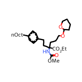 CCCCCCCCc1ccc(CCC(CCCOC2CCCCO2)(NC(=O)OC)C(=O)OCC)cc1